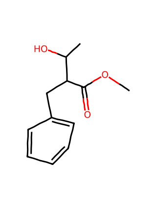 COC(=O)C(Cc1ccccc1)C(C)O